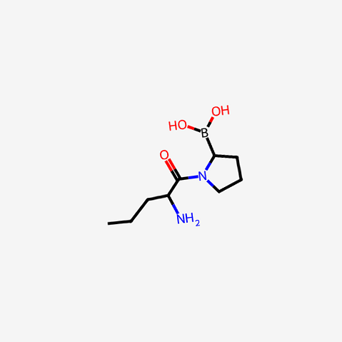 CCCC(N)C(=O)N1CCCC1B(O)O